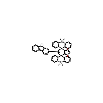 C[Si]1(C)c2ccccc2C2(c3ccccc31)c1cc(-c3ccc4c(c3)oc3ccccc34)sc1C1(c3ccccc3[Si](C)(C)c3ccccc31)c1ccsc12